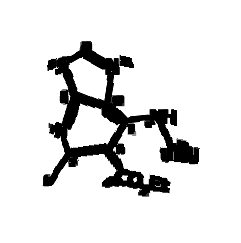 CCCCNc1c(C(=O)OCC)c(C)nc2scnc12